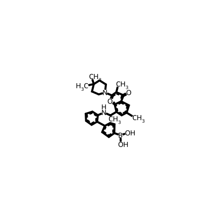 Cc1cc([C@@H](C)Nc2ccccc2-c2ccc(B(O)O)cc2)c2oc(N3CCC(C)(C)CC3)c(C)c(=O)c2c1